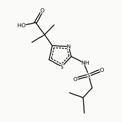 CC(C)CS(=O)(=O)Nc1nc(C(C)(C)C(=O)O)cs1